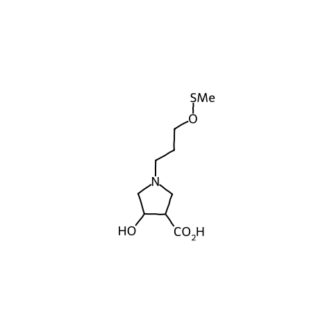 CSOCCCN1CC(O)C(C(=O)O)C1